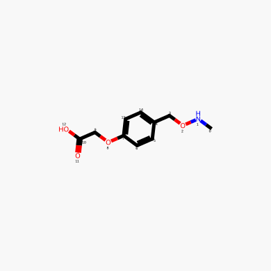 CNOCc1ccc(OCC(=O)O)cc1